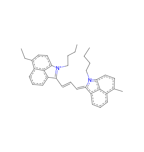 CCCCn1/c(=C\C=C\C2=[N+](CCCC)c3ccc(CC)c4cccc2c34)c2cccc3c(C)ccc1c32